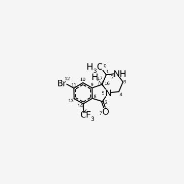 CC1NCCN2C(=O)c3c(cc(Br)cc3C(F)(F)F)[C@@H]12